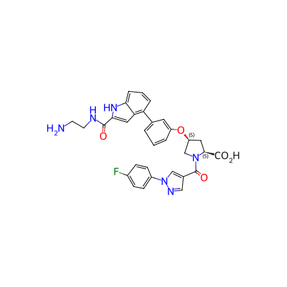 NCCNC(=O)c1cc2c(-c3cccc(O[C@H]4C[C@@H](C(=O)O)N(C(=O)c5cnn(-c6ccc(F)cc6)c5)C4)c3)cccc2[nH]1